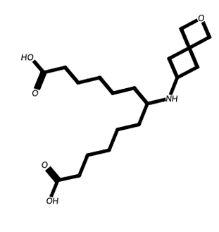 O=C(O)CCCCCC(CCCCCC(=O)O)NC1CC2(COC2)C1